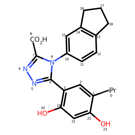 CC(C)c1cc(-c2nnc(C(=O)O)n2-c2ccc3c(c2)CCC3)c(O)cc1O